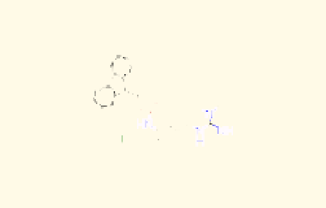 CN(C)C(=N)NCCC[C@@H](NC(=O)OCC1c2ccccc2-c2ccccc21)C(=O)O.Cl